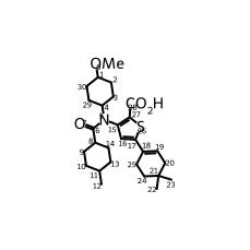 COC1CCC(N(C(=O)C2CCC(C)CC2)c2cc(C3=CCC(C)(C)CC3)sc2C(=O)O)CC1